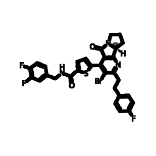 O=C(NCc1ccc(F)c(F)c1)c1ccc(-c2c(Br)c(CCc3ccc(F)cc3)nc3c2C(=O)N2CCC[C@@H]32)s1